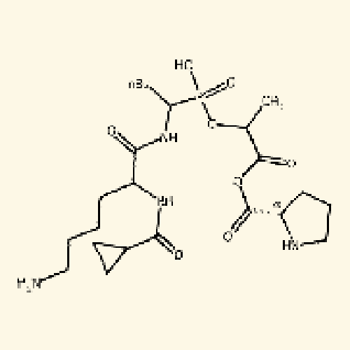 CCCCC(NC(=O)C(CCCCN)NC(=O)C1CC1)P(=O)(O)OC(C)C(=O)OC(=O)[C@@H]1CCCN1